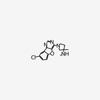 CNC1(C)CCN(c2ncnc3c2oc2ccc(Cl)cc23)C1